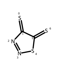 S=C1N=NSC1=S